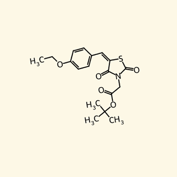 CCOc1ccc(C=C2SC(=O)N(CC(=O)OC(C)(C)C)C2=O)cc1